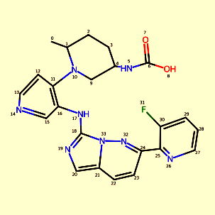 CC1CCC(NC(=O)O)CN1c1ccncc1Nc1ncc2ccc(-c3ncccc3F)nn12